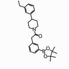 CCc1cccc(C2CCN(C(=O)Cc3cccc(B4OC(C)(C)C(C)(C)O4)c3)CC2)c1